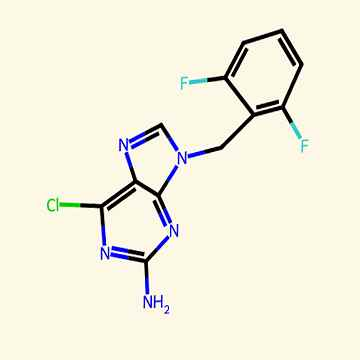 Nc1nc(Cl)c2ncn(Cc3c(F)cccc3F)c2n1